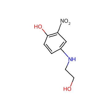 O=[N+]([O-])c1cc(NCCO)ccc1O